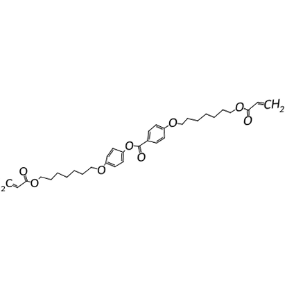 C=CC(=O)OCCCCCCCOc1ccc(OC(=O)c2ccc(OCCCCCCCOC(=O)C=C)cc2)cc1